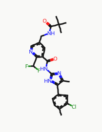 Cc1ccc(-c2[nH]c(NC(=O)c3cc(CNC(=O)C(C)(C)C)cnc3C(F)F)nc2C)cc1Cl